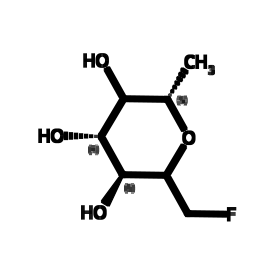 C[C@@H]1OC(CF)[C@@H](O)[C@H](O)C1O